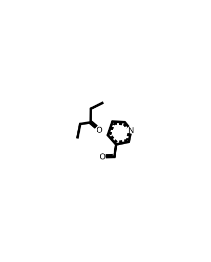 CCC(=O)CC.O=Cc1cccnc1